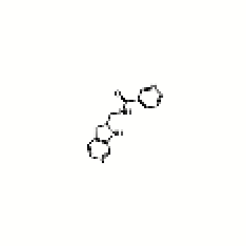 O=C(NCC1Cc2ccncc2N1)c1cccnc1